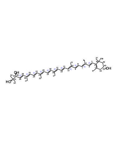 CC1=C(/C=C/C(C)=C/C=C/C(C)=C/C=C/C=C(C)/C=C/C=C(C)/C=C/C=C(C)/C=C/[C@H](O)C(C)(C)O)C(C)(C)C[C@H](O)C1